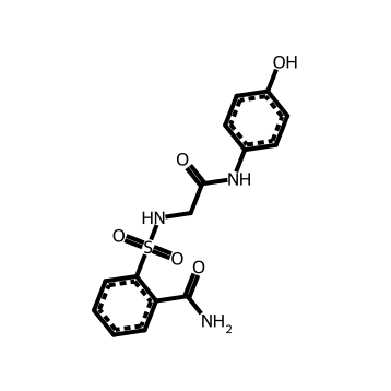 NC(=O)c1ccccc1S(=O)(=O)NCC(=O)Nc1ccc(O)cc1